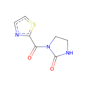 O=C1NCCN1C(=O)c1nccs1